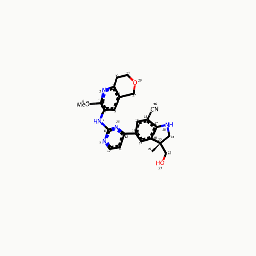 COc1nc2c(cc1Nc1nccc(-c3cc(C#N)c4c(c3)[C@@](C)(CO)CN4)n1)COCC2